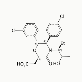 CC[C@@H](C(C)O)N1C(=O)[C@@H](CC(=O)O)O[C@H](c2cccc(Cl)c2)[C@H]1c1ccc(Cl)cc1